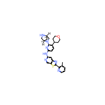 Cc1cccnc1-c1nc2cc(Nc3ccc(C4CCOCC4)c(N4C[C@@H]5C[C@H]4CN5)n3)ncc2s1